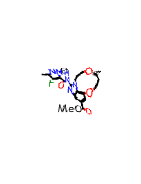 CCn1nc(C)c(F)c1C(=O)Nc1nc2cc(C(=O)OC)cc3c2n1CCCO[C@@H](C)CCO3